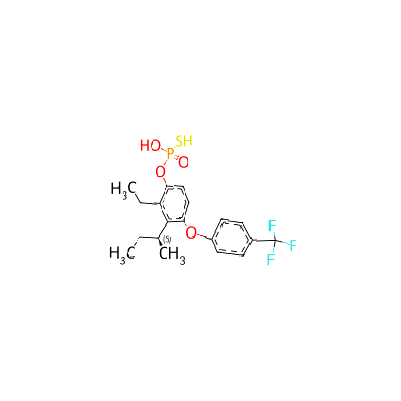 CCc1c(OP(=O)(O)S)ccc(Oc2ccc(C(F)(F)F)cc2)c1[C@@H](C)CC